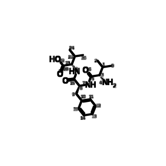 CC(C)[C@H](N)C(=O)N[C@@H](Cc1ccccc1)C(=O)N[C@H](C(=O)O)C(C)C